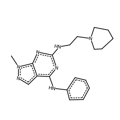 Cn1ncc2c(Nc3ccccc3)nc(NCCN3CCCCC3)nc21